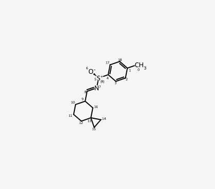 Cc1ccc([S@+]([O-])N=CC2CCCC3(CC3)C2)cc1